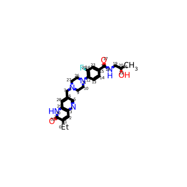 CCc1cc2ncc(CN3CCN(c4ccc(C(=O)NCC(C)O)cc4F)CC3)cc2[nH]c1=O